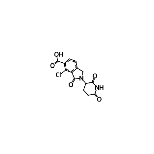 O=C1CCC(N2Cc3ccc(C(=O)O)c(Cl)c3C2=O)C(=O)N1